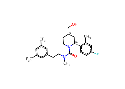 Cc1cc(F)ccc1[C@H]1C[C@@H](CO)CCN1C(=O)N(C)CCc1cc(C(F)(F)F)cc(C(F)(F)F)c1